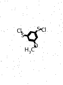 COc1cc(SCl)cc(SCl)c1